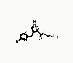 CCOC(=O)c1n[nH]cc1Cc1nc(Br)cs1